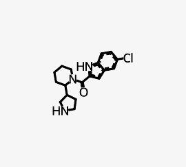 O=C(c1cc2cc(Cl)ccc2[nH]1)N1CCCCC1C1CCNC1